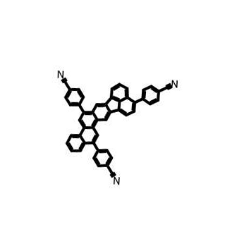 N#Cc1ccc(-c2ccc3c4c(cccc24)-c2cc4c(-c5ccc(C#N)cc5)cc5c6ccccc6c(-c6ccc(C#N)cc6)cc5c4cc2-3)cc1